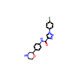 O=C(Nc1ccc(C2CNCCO2)cc1)c1cn(-c2ccc(F)cc2)nn1